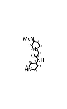 CNC1CCN(CC(=O)NC2CCNCC2)CC1